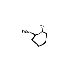 [CH2]CC1CCCCC1CCCC